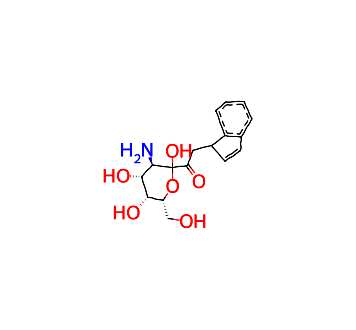 N[C@@H]1[C@@H](O)[C@@H](O)[C@@H](CO)OC1(O)C(=O)CC1C=Cc2ccccc21